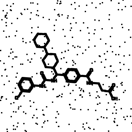 O=C(O)CCNC(=O)c1ccc(C(NC(=O)Nc2cccc(Cl)c2)C2CCC(C3CCCCC3)CC2)cc1